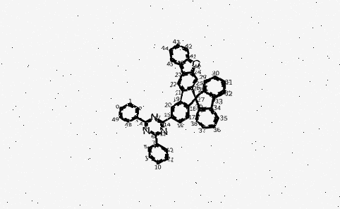 c1ccc(-c2nc(-c3ccccc3)nc(-c3ccc4c(c3)-c3cc5c(cc3C43c4ccccc4-c4ccccc43)oc3ccccc35)n2)cc1